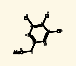 COCc1nc(Cl)c(Cl)c(Cl)n1